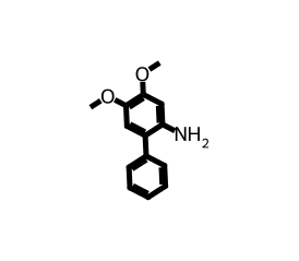 COc1cc(N)c(-c2ccccc2)cc1OC